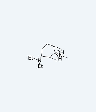 CCN(CC)[C@@H]1CCC2CN(C)CC1[C@H]2O